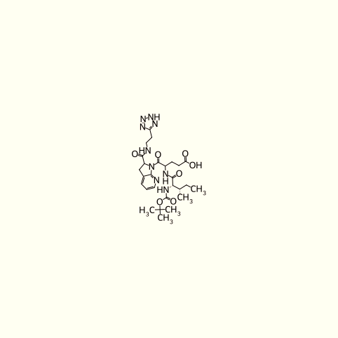 CC[C@H](C)[C@H](NC(=O)OC(C)(C)C)C(=O)NC(CCC(=O)O)C(=O)N1c2ncccc2CC1C(=O)NCCc1nn[nH]n1